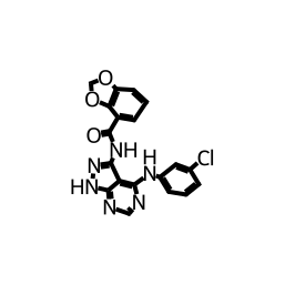 O=C(Nc1n[nH]c2ncnc(Nc3cccc(Cl)c3)c12)c1cccc2c1OCO2